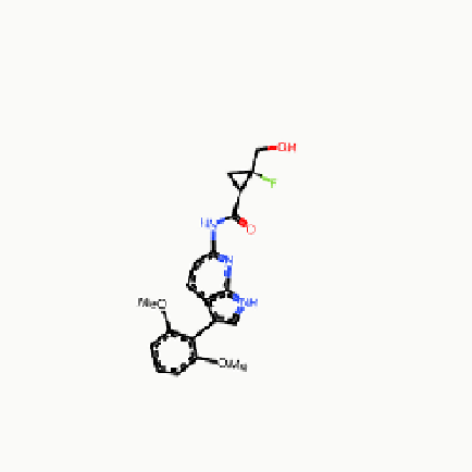 COc1cccc(OC)c1-c1c[nH]c2nc(NC(=O)[C@H]3C[C@]3(F)CO)ccc12